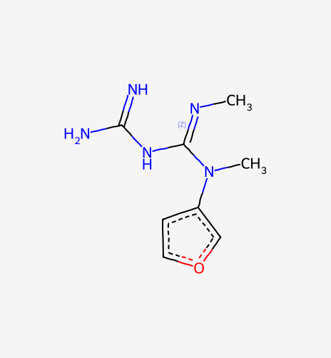 C/N=C(/NC(=N)N)N(C)c1ccoc1